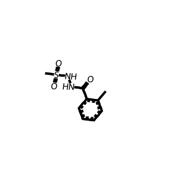 Cc1ccccc1C(=O)NNS(C)(=O)=O